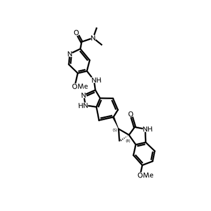 COc1ccc2c(c1)[C@]1(C[C@H]1c1ccc3c(Nc4cc(C(=O)N(C)C)ncc4OC)n[nH]c3c1)C(=O)N2